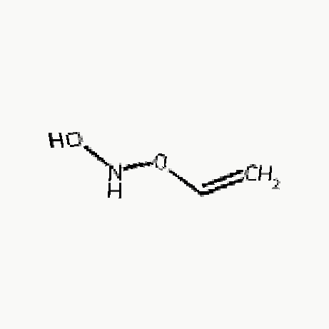 C=CONO